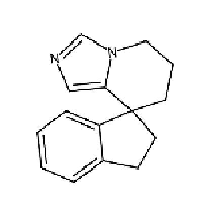 c1ccc2c(c1)CCC21CCCn2cncc21